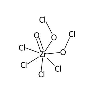 [O]=[Zr]([Cl])([Cl])([Cl])([Cl])([O]Cl)[O]Cl